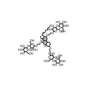 CCCCC[C@@H](C)[C@H]1CC[C@H]2[C@@H]3[C@H](OCCO[C@@H]4OC(CO)[C@@H](O[C@H]5OC(CO)[C@@H](O)C(O)[C@@H]5O)C(O)[C@@H]4O)C[C@@H]4C[C@H](OCCO[C@@H]5OC(CO)[C@@H](O[C@H]6OC(CO)[C@@H](O)C(O)[C@@H]6O)C(O)[C@@H]5O)CC[C@]4(C)[C@H]3C[C@H](OCCO[C@@H]3OC(CO)[C@@H](O[C@H]4OC(CO)[C@@H](O)[C@H](O)C4O)C(O)[C@@H]3O)[C@]12C